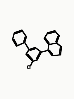 Clc1cc(-c2ccccc2)cc(-c2cccc3ccccc23)c1